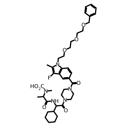 Cc1c(F)c2cc(C(=O)N3CCN(C(=O)C(NC(=O)C(C)N(C)C(=O)O)C4CCCCC4)CC3)ccc2n1CCOCCOCCOCc1ccccc1